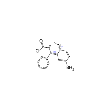 BC1=CC(=C(/C(=C)C(=O)Cl)c2ccccc2)/C(=N\C)C=C1